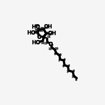 CCCCCCCCCCCCOCC[C@]1(CO)O[C@@H](O)[C@H](O)[C@@H](O)[C@@H]1O